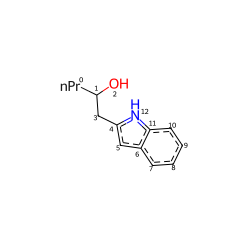 CCCC(O)Cc1cc2ccccc2[nH]1